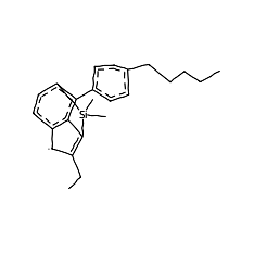 CCCCCc1ccc(-c2c3ccc4c2C(=C(CC)[CH]4)[Si]3(C)C)cc1